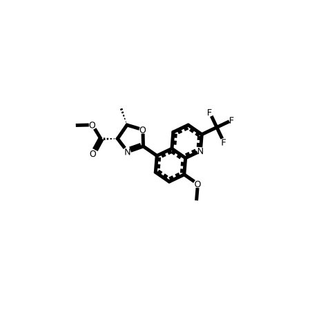 COC(=O)[C@H]1N=C(c2ccc(OC)c3nc(C(F)(F)F)ccc23)O[C@H]1C